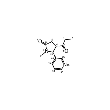 CCC(=O)[C@H]1CC(=O)N(C)[C@@H]1c1cccnc1